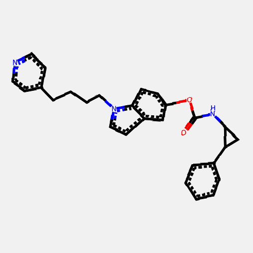 O=C(NC1CC1c1ccccc1)Oc1ccc2c(ccn2CCCCc2ccncc2)c1